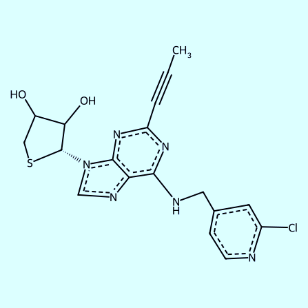 CC#Cc1nc(NCc2ccnc(Cl)c2)c2ncn([C@@H]3SCC(O)C3O)c2n1